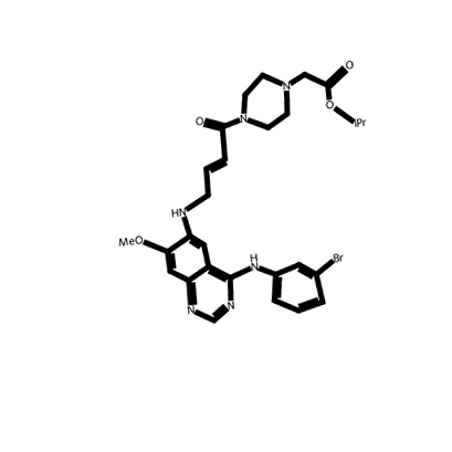 COc1cc2ncnc(Nc3cccc(Br)c3)c2cc1NCC=CC(=O)N1CCN(CC(=O)OC(C)C)CC1